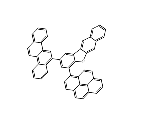 c1ccc2cc3c(cc2c1)oc1c(-c2ccc4ccc5cccc6ccc2c4c56)cc(-c2cc4c5ccccc5ccc4c4ccccc24)cc13